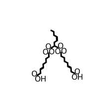 CCC/C=C\CC(C(=O)OC(=O)CCCC/C=C/CC(=O)O)C(=O)OC(=O)CCCC/C=C/CC(=O)O